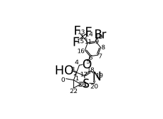 CC1(C(O)(COc2ccc(Br)c(C(F)(F)F)c2)c2cncs2)CC1